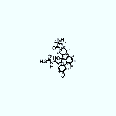 CCc1cccc(-c2c(F)cccc2C(O)(CCCNC(=O)O)C2CCCN(C(=O)C(C)(C)N)C2)c1